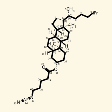 CC(C)CCC[C@@H](C)[C@H]1CC[C@H]2[C@@H]3CC[C@H]4C[C@@H](OC(=O)CCCCN=[N+]=[N-])CC[C@]4(C)[C@H]3CC[C@]12C